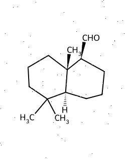 CC1(C)CCC[C@]2(C)[C@@H](C=O)CCC[C@@H]12